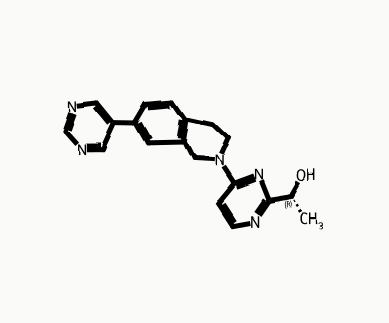 C[C@@H](O)c1nccc(N2CCc3ccc(-c4cncnc4)cc3C2)n1